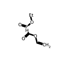 C=COC(=O)[PH](=O)OCC